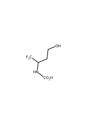 O=C(O)NC(CCO)C(F)(F)F